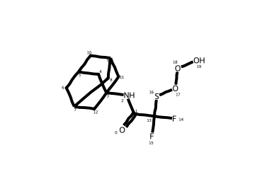 O=C(NC12CC3CC(CC(C3)C1)C2)C(F)(F)SOOO